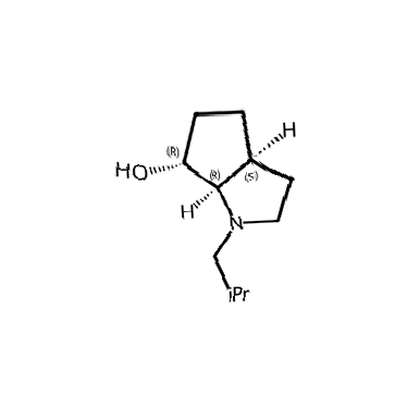 CC(C)CN1CC[C@@H]2CC[C@@H](O)[C@@H]21